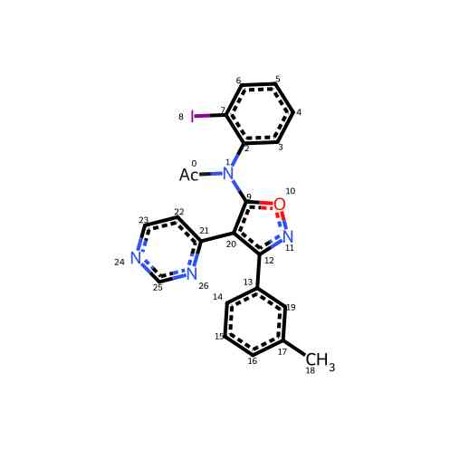 CC(=O)N(c1ccccc1I)c1onc(-c2cccc(C)c2)c1-c1ccncn1